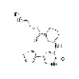 CC(C)NC/C=C/C(=O)N1CCC[C@@H](Nc2cc(-c3ccncc3)c[nH]c2=O)C1